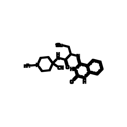 CCCN1CCC(C#N)(NC(=O)C(CC(C)(C)C)N=c2[nH]c(=O)[nH]c3ccccc23)CC1